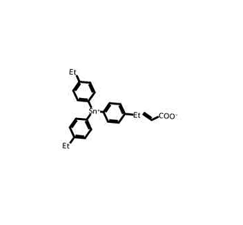 C=CC(=O)[O-].CCc1cc[c]([Sn+]([c]2ccc(CC)cc2)[c]2ccc(CC)cc2)cc1